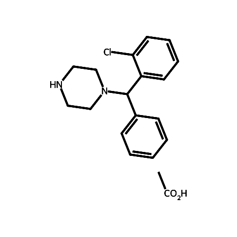 CC(=O)O.Clc1ccccc1C(c1ccccc1)N1CCNCC1